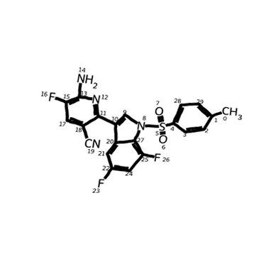 Cc1ccc(S(=O)(=O)n2cc(-c3nc(N)c(F)cc3C#N)c3cc(F)cc(F)c32)cc1